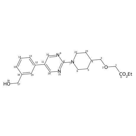 CCOC(=O)COCC1CCN(c2ncc(-c3cccc(CO)c3)cn2)CC1